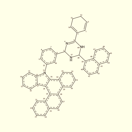 C1=CC(C2=NC(c3cccc(-n4c5ccccc5c5c6c7ccccc7ccc6c6ccccc6c54)c3)NC(c3cccc4ccccc34)N2)=CCC1